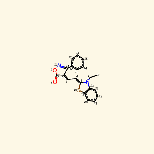 CCN1/C(=C/C=C2/C(=O)ON=C2c2ccccc2)Sc2ccccc21